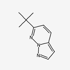 CC(C)(C)c1ccc2ccnn2n1